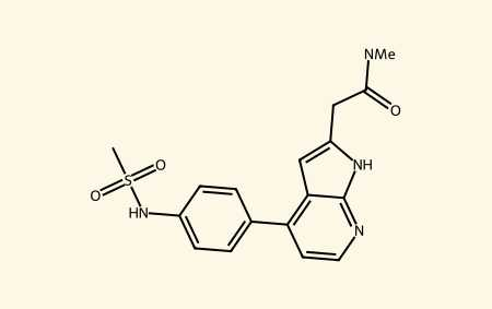 CNC(=O)Cc1cc2c(-c3ccc(NS(C)(=O)=O)cc3)ccnc2[nH]1